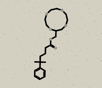 CC(C)(CCCC(=O)OCC1COCCOCCOCCO1)c1ccccc1